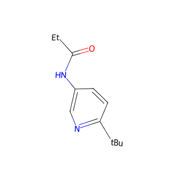 CCC(=O)Nc1ccc(C(C)(C)C)nc1